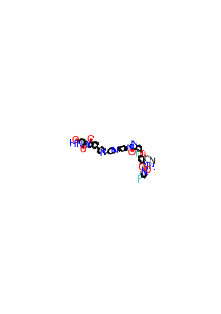 N#Cc1c(NS(=O)(=O)N2CC[C@@H](F)C2)ccc(F)c1Oc1ccc2ncn(-c3ccc(N4CCC(CN5CCC(c6ccc7c(c6)CN([C@H]6CCC(=O)NC6=O)C7=O)CC5)CC4)cc3)c(=O)c2c1